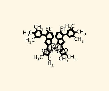 CCc1ccc2c(c1-c1cc(C)c(C)c(C)c1)C=C(c1cc(C)c(C)o1)[CH]2[Zr]([Cl])([Cl])([CH]1C(c2cc(C)c(C)o2)=Cc2c1ccc(CC)c2-c1cc(C)c(C)c(C)c1)=[Si](C)C